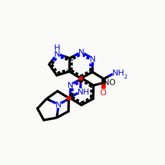 NC(=O)c1nnc2[nH]ccc2c1NC1CC2CCC(C1)N2c1ccc(N=O)cn1